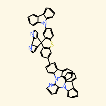 c1cnc(-n2c3ccccc3c3cc(-c4ccc5c(c4)Sc4ccc(-n6c7ccccc7c7ccccc76)cc4C54c5cccnc5-c5ncccc54)ccc32)c(-n2c3ccccc3c3ccccc32)c1